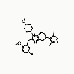 COc1ccc(F)cc1Cc1nc2cc(-c3c(C)noc3C)ccc2n1C1CCC(OC)CC1